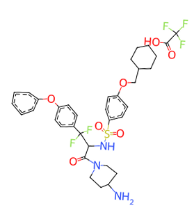 NC1CCN(C(=O)C(NS(=O)(=O)c2ccc(OCC3CCCCC3)cc2)C(F)(F)c2ccc(Oc3ccccc3)cc2)CC1.O=C(O)C(F)(F)F